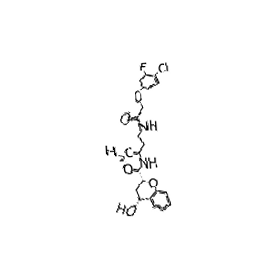 C=C(CCNC(=O)COc1ccc(Cl)c(F)c1)NC(=O)[C@H]1C[C@@H](O)c2ccccc2O1